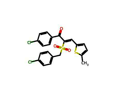 Cc1ccc(C=C(C(=O)c2ccc(Cl)cc2)S(=O)(=O)Cc2ccc(Cl)cc2)s1